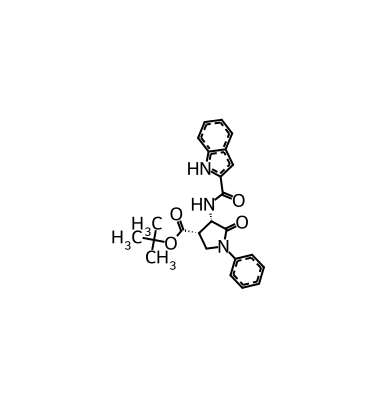 CC(C)(C)OC(=O)[C@H]1CN(c2ccccc2)C(=O)[C@H]1NC(=O)c1cc2ccccc2[nH]1